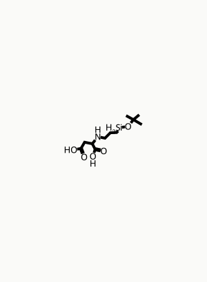 CC(C)(C)O[SiH2]CCCNC(CC(=O)O)C(=O)O